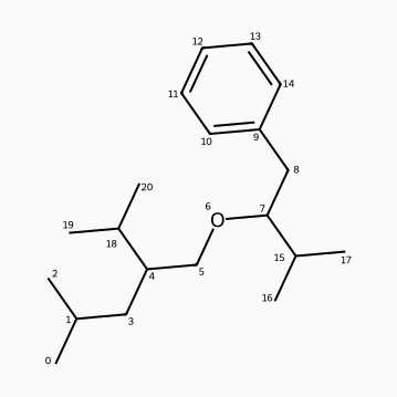 CC(C)CC(COC(Cc1ccccc1)C(C)C)C(C)C